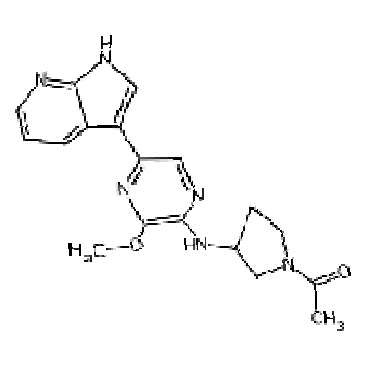 COc1nc(-c2c[nH]c3ncccc23)cnc1NC1CCN(C(C)=O)C1